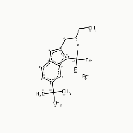 CCCCc1cc2ccc(C(C)(C)C)cc2[s+]1C(F)(F)F.[Br-]